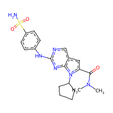 CN(C)C(=O)c1cc2cnc(Nc3ccc(S(N)(=O)=O)cc3)nc2n1C1CCCC1